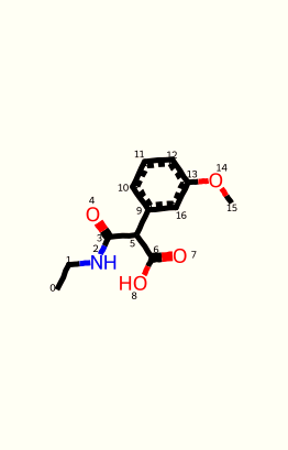 CCNC(=O)C(C(=O)O)c1cccc(OC)c1